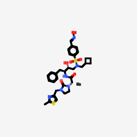 CC[C@H](C)[C@@H](C(=O)N[C@@H](Cc1ccccc1)[C@H](O)CN(CC1CCC1)S(=O)(=O)c1ccc(C=NO)cc1)N1CCN(Cc2csc(C)n2)C1=O